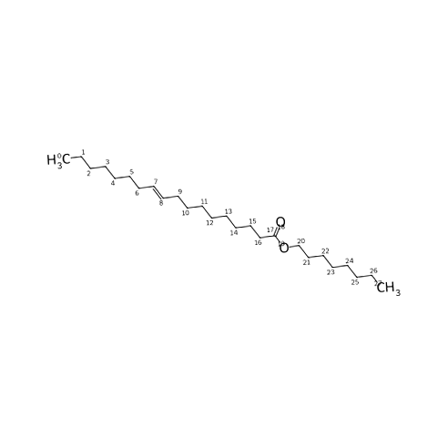 CCCCCCCC=CCCCCCCCCC(=O)OCCCCCCCC